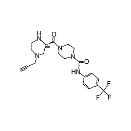 C#CCN1CCN[C@@H](C(=O)N2CCN(C(=O)Nc3ccc(C(F)(F)F)cc3)CC2)C1